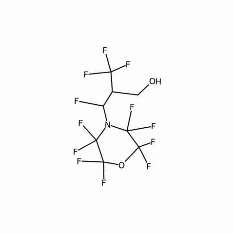 OCC(C(F)N1C(F)(F)C(F)(F)OC(F)(F)C1(F)F)C(F)(F)F